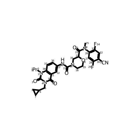 CC(C)n1c(=O)n(CC2CC2)c(=O)c2cc(NC(=O)N3CCOC(C(=O)N(C)c4cc(F)c(C#N)cc4F)C3)ccc21